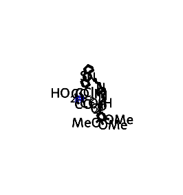 COc1cc(C(=O)OCCN2CCN(CCCN3c4ccccc4Sc4ccc(Cl)cc43)CC2)cc(OC)c1OC.O=C(O)/C=C/C(=O)O.O=C(O)/C=C/C(=O)O